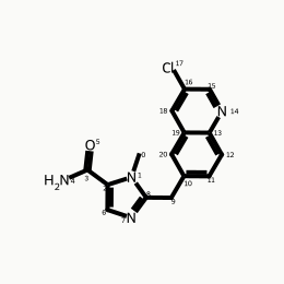 Cn1c(C(N)=O)cnc1Cc1ccc2ncc(Cl)cc2c1